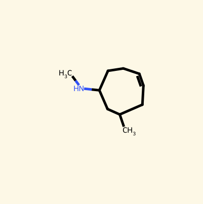 CNC1CC/C=C\CC(C)C1